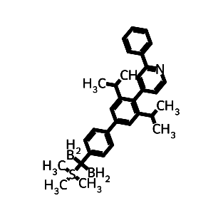 BC(B)(c1ccc(-c2cc(C(C)C)c(-c3ccnc(-c4ccccc4)c3)c(C(C)C)c2)cc1)S(C)(C)C